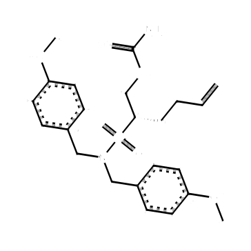 C=CCC[C@@H](COC(N)=O)S(=O)(=O)N(Cc1ccc(OC)cc1)Cc1ccc(OC)cc1